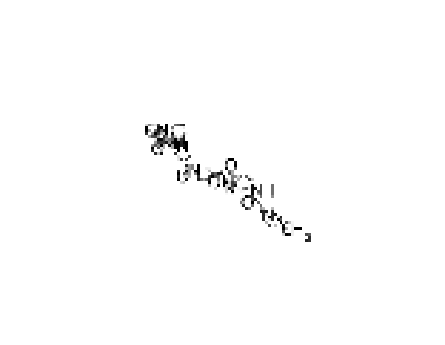 C=CS(=O)(=O)Nc1ccccc1N1CCC(C(=O)N2CCC(O)(Cn3cnc4cc(NC(=O)CCN5CCN(C)CC5)ccc4c3=O)CC2)CC1